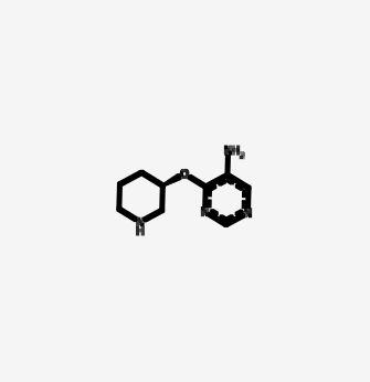 Nc1cncnc1O[C@@H]1CCCNC1